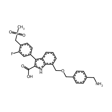 CS(=O)(=O)Cc1ccc(-c2c(C(=O)O)[nH]c3c(COCc4ccc(CN)cc4)cccc23)cc1F